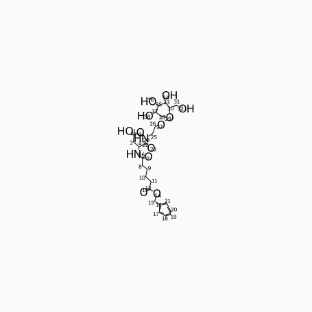 O=C(O)CC(NC(=O)CCCCC(=O)OCc1ccccc1)C(=O)NCCO[C@H]1O[C@H](CO)[C@@H](O)[C@H](O)[C@@H]1O